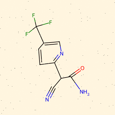 N#CC(C(N)=O)c1ccc(C(F)(F)F)cn1